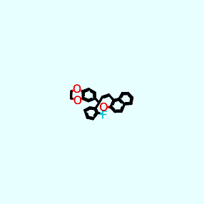 Fc1ccccc1C1(c2ccc3c(c2)OCCO3)C=Cc2c(ccc3ccccc23)O1